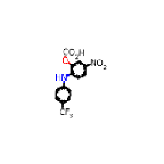 O=C(O)Oc1cc([N+](=O)[O-])ccc1Nc1ccc(C(F)(F)F)cc1